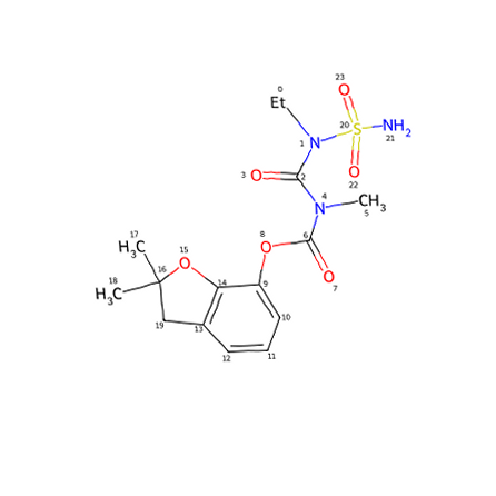 CCN(C(=O)N(C)C(=O)Oc1cccc2c1OC(C)(C)C2)S(N)(=O)=O